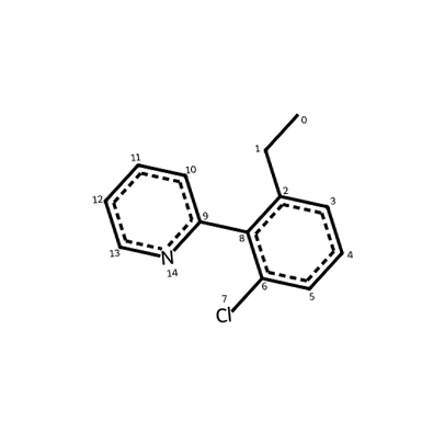 CCc1cccc(Cl)c1-c1ccccn1